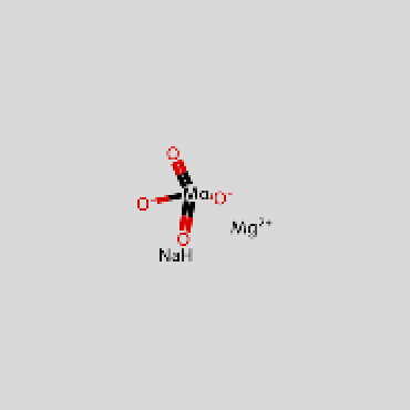 [Mg+2].[NaH].[O]=[Mo](=[O])([O-])[O-]